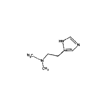 CN(C)CCc1cnc[nH]1